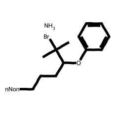 CCCCCCCCCCCCC(Oc1ccccc1)C(C)(C)Br.N